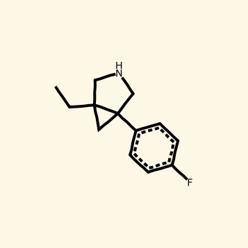 CCC12CNCC1(c1ccc(F)cc1)C2